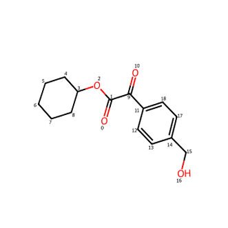 O=C(OC1CCCCC1)C(=O)c1ccc(CO)cc1